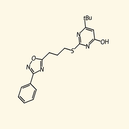 CC(C)(C)c1cc(O)nc(SCCCc2nc(-c3ccccc3)no2)n1